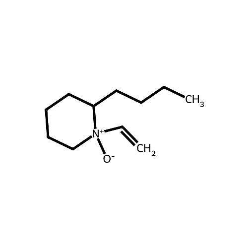 C=C[N+]1([O-])CCCCC1CCCC